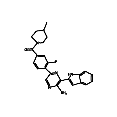 CN1CCN(C(=O)c2ccc(-c3cnc(N)c(-c4cc5ccccc5[nH]4)n3)c(F)c2)CC1